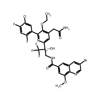 CCOc1c(CC(N)=O)cc([C@@](O)(CNC(=O)c2cc(OC)c3ncc(Br)cc3c2)C(F)(F)F)nc1-c1cc(Cl)c(F)cc1F